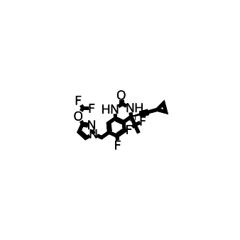 CC(F)(F)[C@@]1(C#CC2CC2)NC(=O)Nc2cc(Cn3ccc(OC(F)F)n3)c(F)cc21